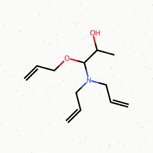 C=CCOC(C(C)O)N(CC=C)CC=C